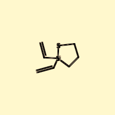 C=C[Si]1(C=C)CCCS1